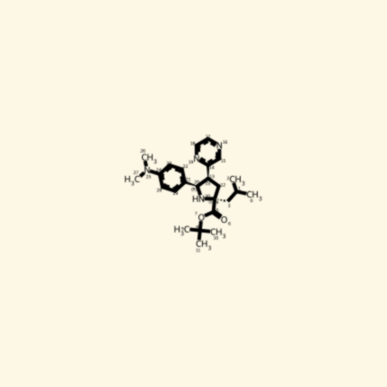 CC(C)C[C@@]1(C(=O)OC(C)(C)C)C[C@H](c2cnccn2)[C@H](c2ccc(N(C)C)cc2)N1